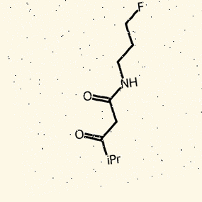 CC(C)C(=O)CC(=O)NCCCF